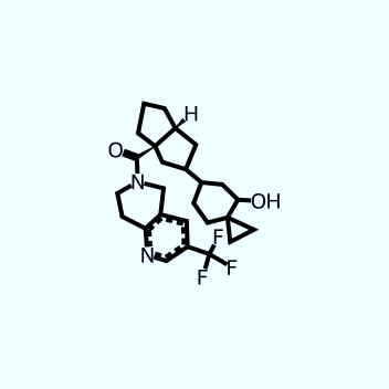 O=C(N1CCc2ncc(C(F)(F)F)cc2C1)[C@@]12CCC[C@@H]1CC(C1CCC3(CC3)C(O)C1)C2